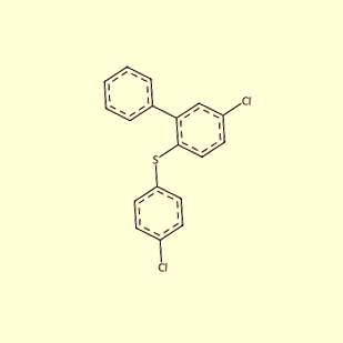 Clc1ccc(Sc2ccc(Cl)cc2-c2ccccc2)cc1